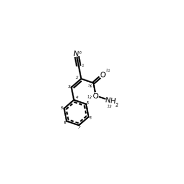 N#CC(=Cc1ccccc1)C(=O)ON